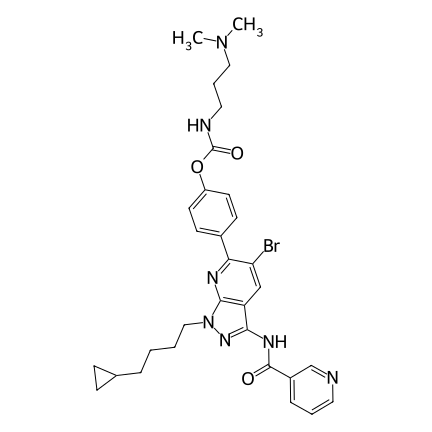 CN(C)CCCNC(=O)Oc1ccc(-c2nc3c(cc2Br)c(NC(=O)c2cccnc2)nn3CCCCC2CC2)cc1